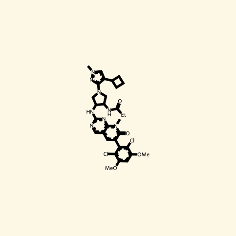 CCC(=O)NC1CN(c2nn(C)cc2C2CCC2)CC1Nc1ncc2cc(-c3c(Cl)c(OC)cc(OC)c3Cl)c(=O)n(C)c2n1